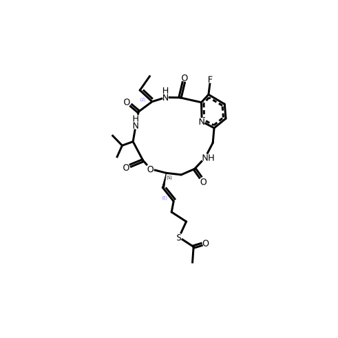 C/C=C1\NC(=O)c2nc(ccc2F)CNC(=O)C[C@@H](/C=C/CCSC(C)=O)OC(=O)C(C(C)C)NC1=O